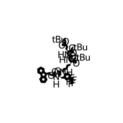 CC(C)(C)OC(=O)CC[C@H](NC(=O)N[C@@H](CCCCNC(=O)[C@H](Cc1cccc(S(F)(F)(F)(F)F)c1)NC(=O)OCC1c2ccccc2-c2ccccc21)C(=O)OC(C)(C)C)C(=O)OC(C)(C)C